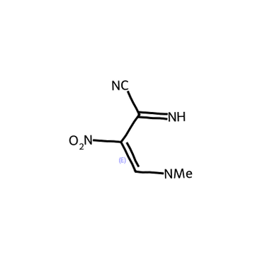 CN/C=C(\C(=N)C#N)[N+](=O)[O-]